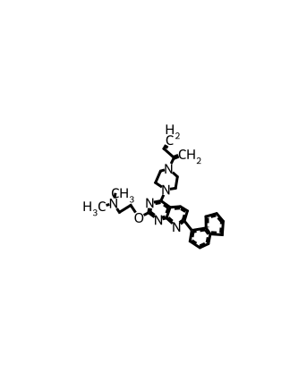 C=CC(=C)N1CCN(c2nc(OCCN(C)C)nc3nc(-c4cccc5ccccc45)ccc23)CC1